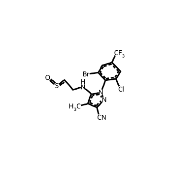 Cc1c(C#N)nn(-c2c(Cl)cc(C(F)(F)F)cc2Br)c1NCC=S=O